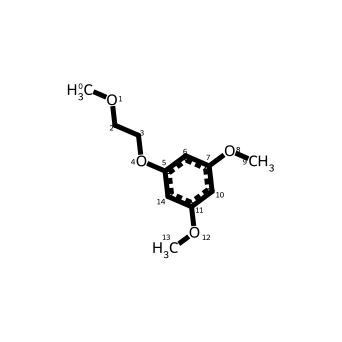 COCCOc1cc(OC)cc(OC)c1